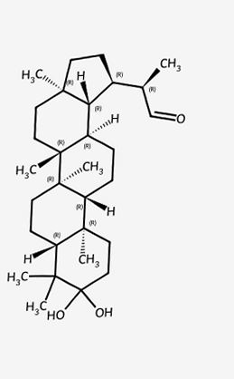 C[C@@H](C=O)[C@@H]1CC[C@]2(C)CC[C@]3(C)[C@H](CC[C@@H]4[C@@]5(C)CCC(O)(O)C(C)(C)[C@@H]5CC[C@]43C)[C@@H]12